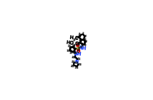 CC1=CCCc2ccc(NS(=O)(=O)c3ccccc3NCCN3CCCC3)c(C(=O)O)c21